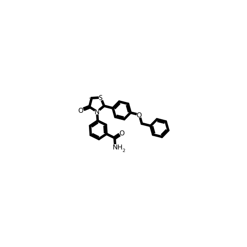 NC(=O)c1cccc(N2C(=O)[CH]SC2c2ccc(OCc3ccccc3)cc2)c1